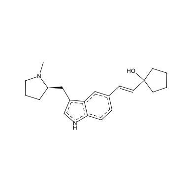 CN1CCC[C@@H]1Cc1c[nH]c2ccc(C=CC3(O)CCCC3)cc12